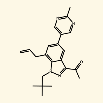 C=CCc1cc(-c2cnc(C)nc2)cc2c(C(C)=O)nn(CC(C)(C)C)c12